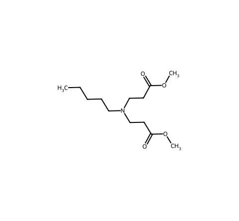 CCCCCN(CCC(=O)OC)CCC(=O)OC